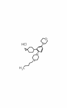 CCCCCN1CCN(c2ccc(N3CCOCC3)cc2C2CCC3(CC2)CC3)CC1.Cl